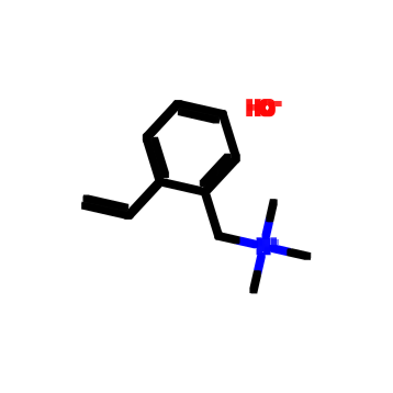 C=Cc1ccccc1C[N+](C)(C)C.[OH-]